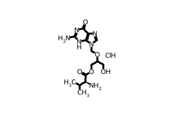 CC(C)[C@H](N)C(=O)OCC(CO)OCn1cnc2c(=O)nc(N)[nH]c21.Cl